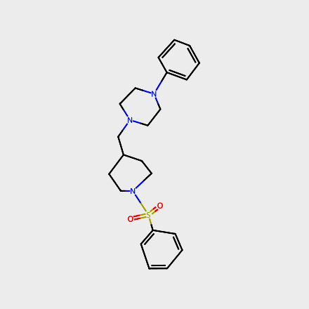 O=S(=O)(c1ccccc1)N1CCC(CN2CCN(c3ccccc3)CC2)CC1